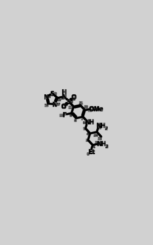 CCC(N)CC(CNc1cc(F)c(S(=O)(=O)Nc2ncns2)cc1OC)C(C)N